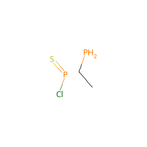 CCP.S=PCl